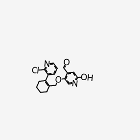 O=Cc1cc(O)ncc1OCC1=C(c2cccnc2Cl)CCCC1